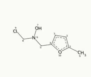 Cc1ccc(CN(O)CCl)o1